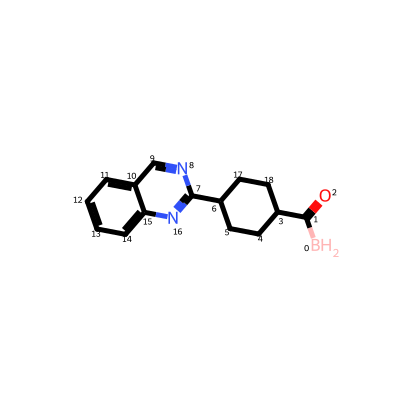 BC(=O)C1CCC(c2ncc3ccccc3n2)CC1